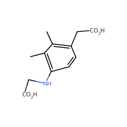 Cc1c(CC(=O)O)ccc(NCC(=O)O)c1C